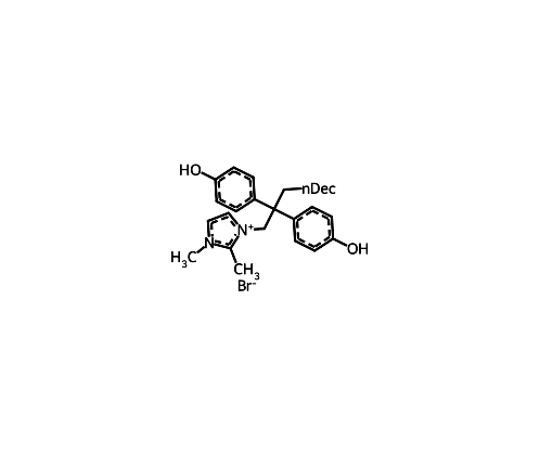 CCCCCCCCCCCC(C[n+]1ccn(C)c1C)(c1ccc(O)cc1)c1ccc(O)cc1.[Br-]